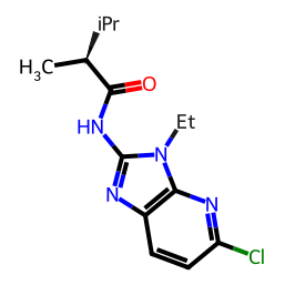 CCn1c(NC(=O)[C@@H](C)C(C)C)nc2ccc(Cl)nc21